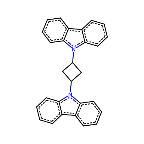 c1ccc2c(c1)c1ccccc1n2C1CC(n2c3ccccc3c3ccccc32)C1